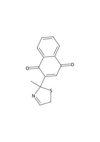 CC1(C2=CC(=O)c3ccccc3C2=O)N=CCS1